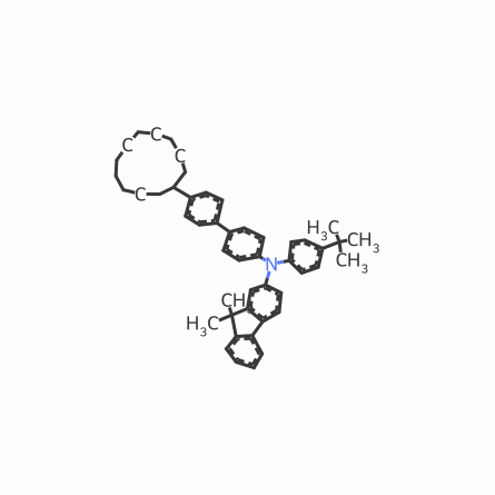 CC(C)(C)c1ccc(N(c2ccc(-c3ccc(C4CCCCCCCCCCC4)cc3)cc2)c2ccc3c(c2)C(C)(C)c2ccccc2-3)cc1